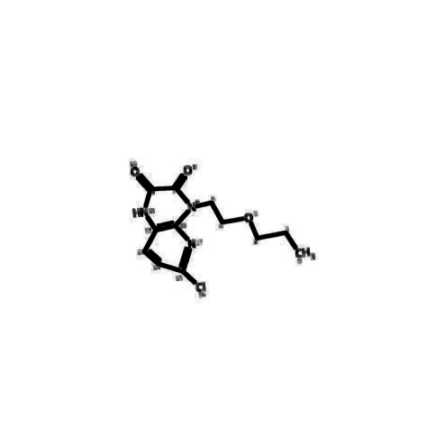 CCCOCCn1c(=O)c(=O)[nH]c2ccc(Cl)nc21